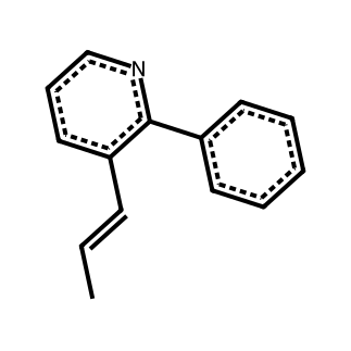 CC=Cc1cccnc1-c1ccccc1